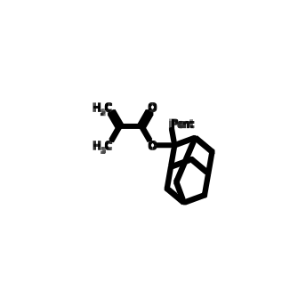 C=C(C)C(=O)OC1(C(C)CCC)C2CC3CC(C2)CC1C3